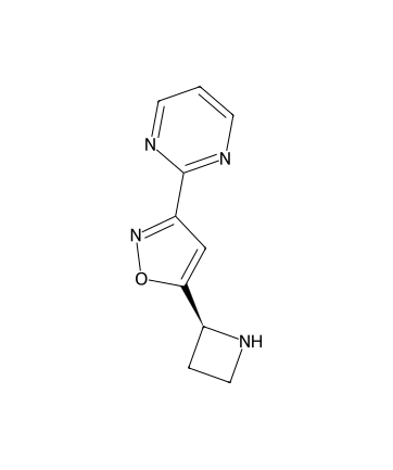 c1cnc(-c2cc([C@@H]3CCN3)on2)nc1